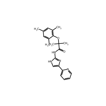 Cc1cc(C)c(OC(C)(C)C(=O)Nc2nc(-c3ccccn3)c[nH]2)c(C)c1